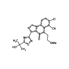 COCCn1c(=O)c2c(-c3noc(C(C)(C)O)n3)ncn2c2ccc(Cl)c(C#N)c21